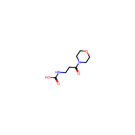 O=C(O)NCCC(=O)N1CCOCC1